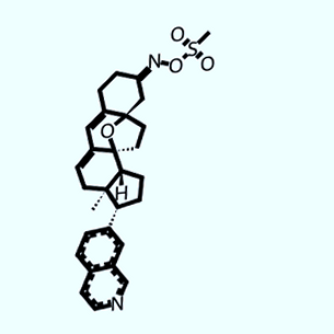 C[C@]12CC=C3C=C4CC/C(=N/OS(C)(=O)=O)C[C@]45CC[C@]3(O5)[C@@H]1CC[C@@H]2c1ccc2ccncc2c1